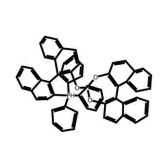 c1ccc([PH](c2ccccc2)(c2ccccc2)c2ccc3ccccc3c2-c2c(Op3oc4ccc5ccccc5c4c4c(ccc5ccccc54)o3)ccc3ccccc23)cc1